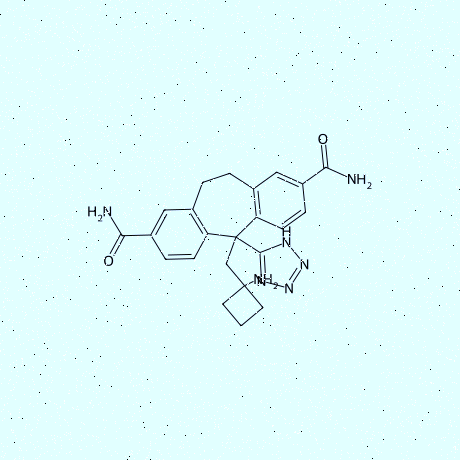 NC(=O)c1ccc2c(c1)CCc1cc(C(N)=O)ccc1C2(CC1(N)CCC1)c1nnn[nH]1